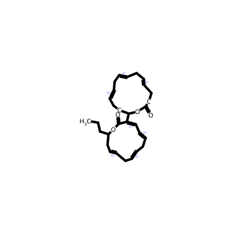 CCCC1C/C=C/C/C=C/C/C=C/C=C(/C2CC/C=C/C/C=C/C/C=C/CCC(=O)O2)C(=O)O1